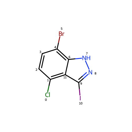 Clc1ccc(Br)c2[nH]nc(I)c12